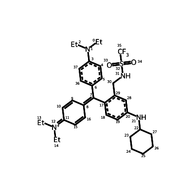 CCN(CC)c1ccc(C(=C2C=CC(=[N+](CC)CC)C=C2)c2ccc(NC3CCCCC3)cc2CNS(=O)(=O)C(F)(F)F)cc1